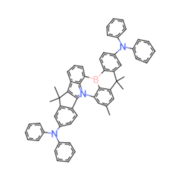 Cc1cc2c3c(c1)C(C)(C)c1cc(N(c4ccccc4)c4ccccc4)ccc1B3c1cccc3c4c(n-2c13)-c1ccc(N(c2ccccc2)c2ccccc2)cc1C4(C)C